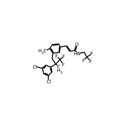 Cc1ccc(/C=C/C(=O)NCC(F)(F)F)cc1CC(C)(c1cc(Cl)cc(Cl)c1)C(F)(F)F